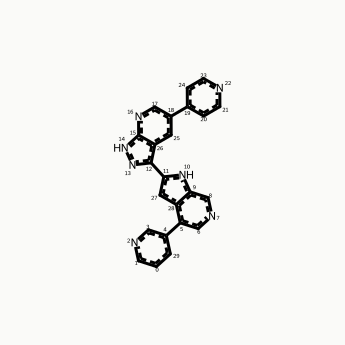 c1cncc(-c2cncc3[nH]c(-c4n[nH]c5ncc(-c6ccncc6)cc45)cc23)c1